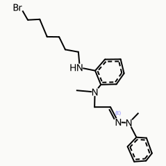 CN(C/C=N/N(C)c1ccccc1)c1ccccc1NCCCCCCBr